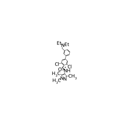 CCN(CC)Cc1cccc(-c2cc(Cl)c([S+]([O-])Nc3c(C)nn(C)c3C)c(Cl)c2)c1